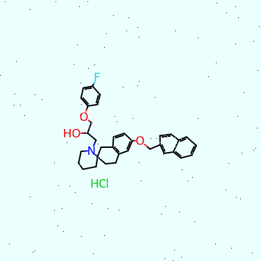 Cl.OC(COc1ccc(F)cc1)CN1CCCCC12CCc1cc(OCc3ccc4ccccc4c3)ccc1C2